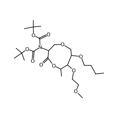 CCCCOC1COCC(N(C(=O)OC(C)(C)C)C(=O)OC(C)(C)C)C(=O)OC(C)C1OCCOC